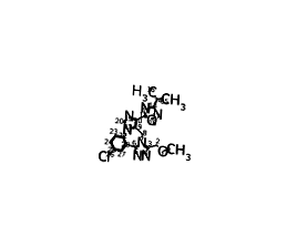 COCc1nnc2n1Cc1c(-c3nc(C(C)C)no3)ncn1-c1ccc(Cl)cc1-2